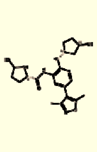 Cc1noc(C)c1-c1ccc(N[C@@H]2CC[C@@H](O)C2)c(NC(=O)[C@@H]2CCC(O)N2)c1